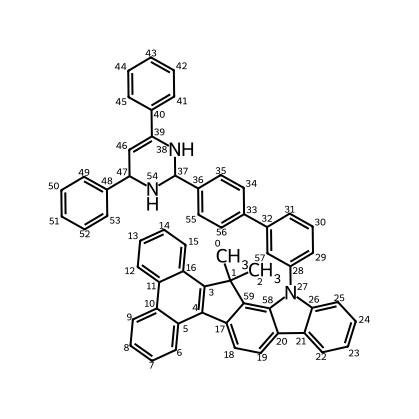 CC1(C)c2c(c3ccccc3c3ccccc23)-c2ccc3c4ccccc4n(-c4cccc(-c5ccc(C6NC(c7ccccc7)=CC(c7ccccc7)N6)cc5)c4)c3c21